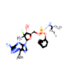 CCOC(=O)[C@H](C)N[P@@](=S)(OC[C@H]1O[C@@H](n2cnc3c(NC)nc(N)nc32)[C@](C)(F)[C@@H]1O)Oc1ccccc1